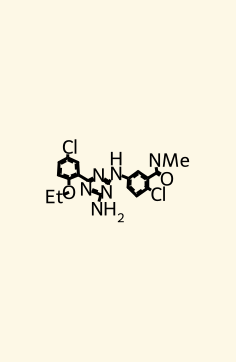 CCOc1ccc(Cl)cc1-c1nc(N)nc(Nc2ccc(Cl)c(C(=O)NC)c2)n1